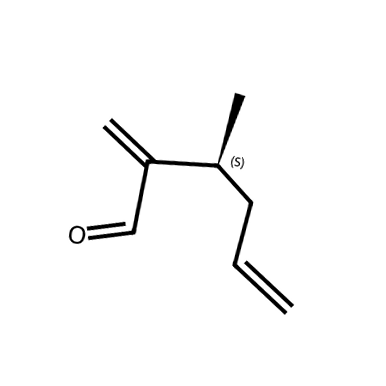 C=CC[C@H](C)C(=C)C=O